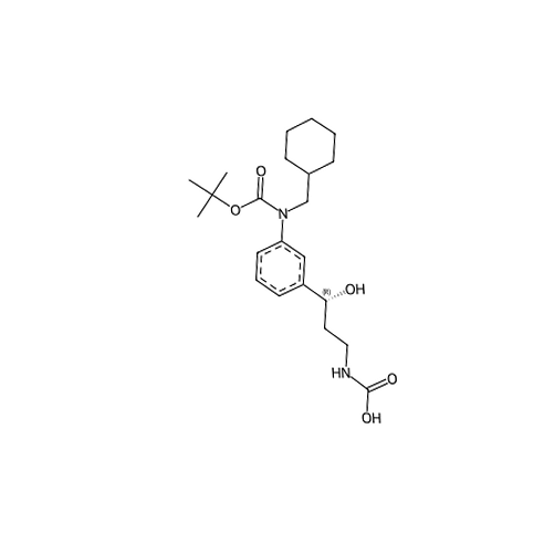 CC(C)(C)OC(=O)N(CC1CCCCC1)c1cccc([C@H](O)CCNC(=O)O)c1